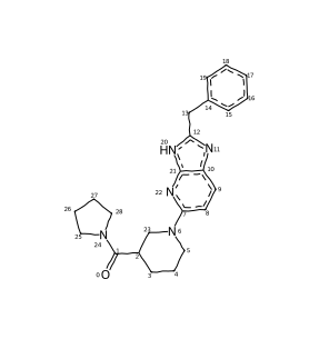 O=C(C1CCCN(c2ccc3nc(Cc4ccccc4)[nH]c3n2)C1)N1CCCC1